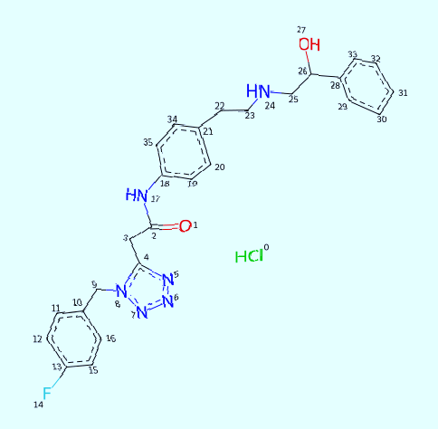 Cl.O=C(Cc1nnnn1Cc1ccc(F)cc1)Nc1ccc(CCNCC(O)c2ccccc2)cc1